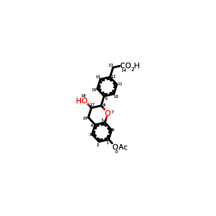 CC(=O)Oc1ccc2c(c1)OC(c1ccc(CC(=O)O)cc1)C(O)C2